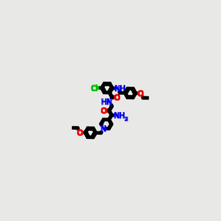 CCOc1ccc(CNc2ccc(Cl)cc2C(=O)NCC(=O)C(N)C2CCN(Cc3ccc(OCC)cc3)CC2)cc1